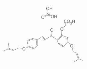 CC(C)=CCOc1ccc(/C=C/C(=O)c2ccc(OCC=C(C)C)cc2OCC(=O)O)cc1.O=[Si](O)O